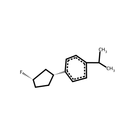 CC(C)c1ccc([C@@H]2CC[C@H](F)C2)cc1